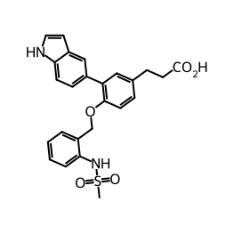 CS(=O)(=O)Nc1ccccc1COc1ccc(CCC(=O)O)cc1-c1ccc2[nH]ccc2c1